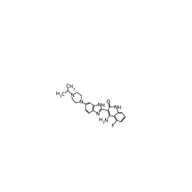 CC(C)N1CCN(c2ccc3nc(-c4c(N)c5c(F)cccc5[nH]c4=O)[nH]c3c2)CC1